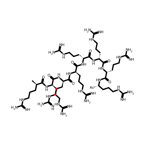 CC(=O)[C@@H](CCCNC(=N)N)NC(=O)[C@@H](CCCNC(=N)N)NC(=O)[C@@H](CCCNC(=N)N)NC(=O)[C@@H](CCCNC(=N)N)NC(=O)[C@@H](CCCNC(=N)N)NC(=O)[C@@H](CCCNC(=N)N)NC(=O)[C@@H](CCCNC(=N)N)NC(=O)[C@H](C)CCCNC(=N)N